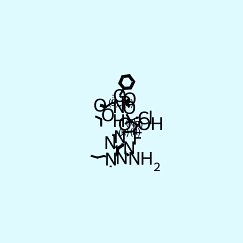 CCCN(C)c1nc(N)nc2c1ncn2[C@@H]1O[C@](CCl)(CO[P@](=O)(N[C@@H](C)C(=O)OC(C)C)Oc2ccccc2)[C@@H](O)[C@H]1F